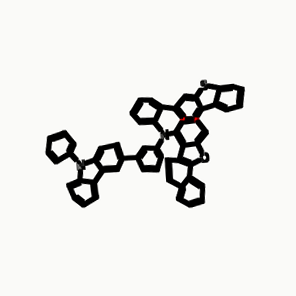 c1ccc(-n2c3ccccc3c3cc(-c4cccc(N(c5ccccc5-c5ccc6c(c5)sc5ccccc56)c5cccc6oc7c8ccccc8ccc7c56)c4)ccc32)cc1